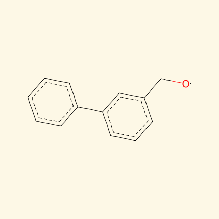 [O]Cc1cccc(-c2ccccc2)c1